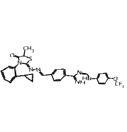 CC1S/C(=N\N=C\c2ccc(C(=N)/N=C\Nc3ccc(OC(F)(F)F)cc3)cc2)N(c2ccccc2C2CC2)C1=O